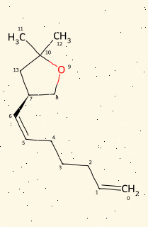 C=CCCC/C=C\[C@@H]1COC(C)(C)C1